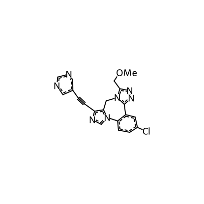 COCc1nnc2n1Cc1c(C#Cc3cncnc3)ncn1-c1ccc(Cl)cc1-2